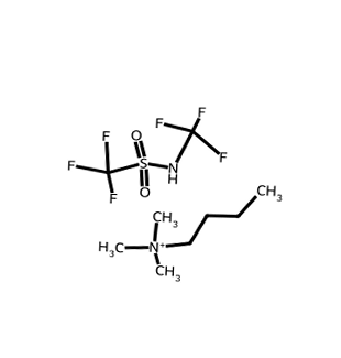 CCCC[N+](C)(C)C.O=S(=O)(NC(F)(F)F)C(F)(F)F